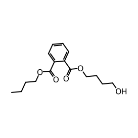 CCCCOC(=O)c1ccccc1C(=O)OCCCCO